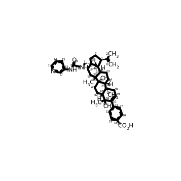 C=C(C)[C@@H]1CC[C@]2(CNC(=O)Nc3cccnc3)CC[C@]3(C)[C@H](CC[C@@H]4[C@@]5(C)CC=C(c6ccc(C(=O)O)cc6)C(C)(C)[C@@H]5CC[C@]43C)[C@@H]12